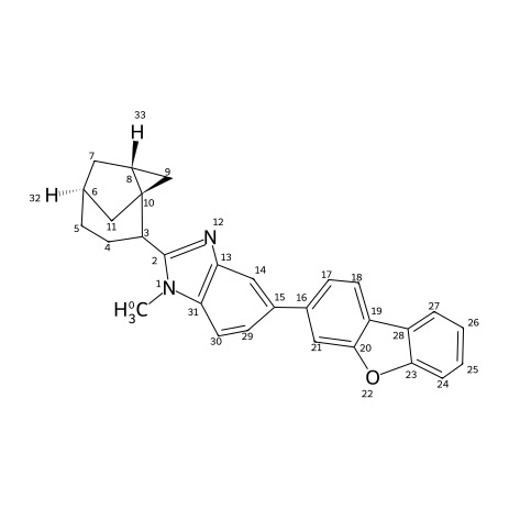 Cn1c(C2CC[C@H]3C[C@@H]4C[C@]24C3)nc2cc(-c3ccc4c(c3)oc3ccccc34)ccc21